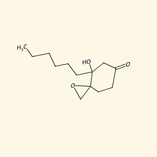 CCCCCCC1(O)CC(=O)CCC12CO2